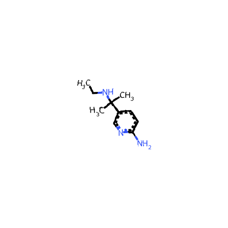 CCNC(C)(C)c1ccc(N)nc1